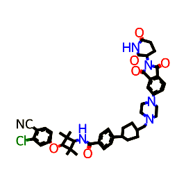 CC1(C)C(NC(=O)c2ccc(C3CCC(CN4CCN(c5ccc6c(c5)C(=O)N(C5CCC(=O)NC5=O)C6=O)CC4)CC3)cc2)C(C)(C)C1Oc1ccc(C#N)c(Cl)c1